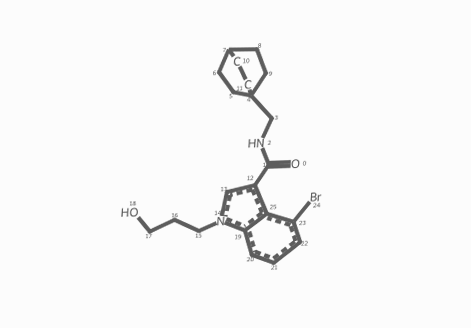 O=C(NCC12CCC(CC1)CC2)c1cn(CCCO)c2cccc(Br)c12